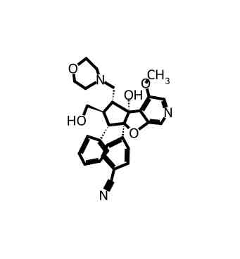 COc1cncc2c1[C@]1(O)[C@@H](CN3CCOCC3)[C@H](CO)[C@@H](c3ccccc3)[C@]1(c1ccc(C#N)cc1)O2